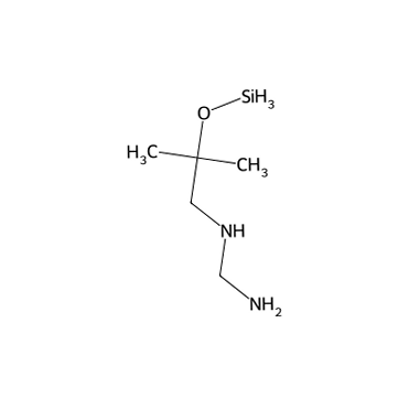 CC(C)(CNCN)O[SiH3]